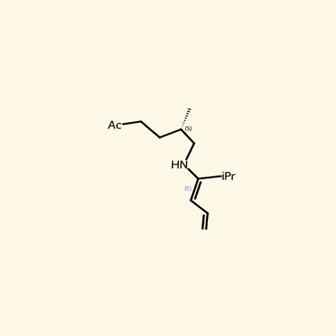 C=C/C=C(/NC[C@@H](C)CCC(C)=O)C(C)C